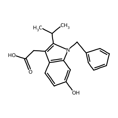 CC(C)c1c(CC(=O)O)c2ccc(O)cc2n1Cc1ccccc1